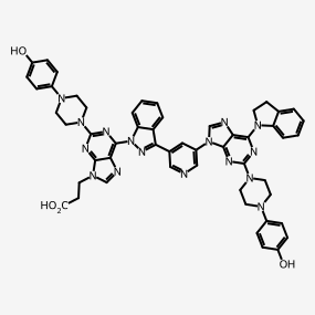 O=C(O)CCn1cnc2c(-n3nc(-c4cncc(-n5cnc6c(N7CCc8ccccc87)nc(N7CCN(c8ccc(O)cc8)CC7)nc65)c4)c4ccccc43)nc(N3CCN(c4ccc(O)cc4)CC3)nc21